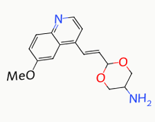 COc1ccc2nccc(C=CC3OCC(N)CO3)c2c1